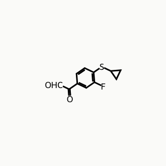 O=CC(=O)c1ccc(SC2CC2)c(F)c1